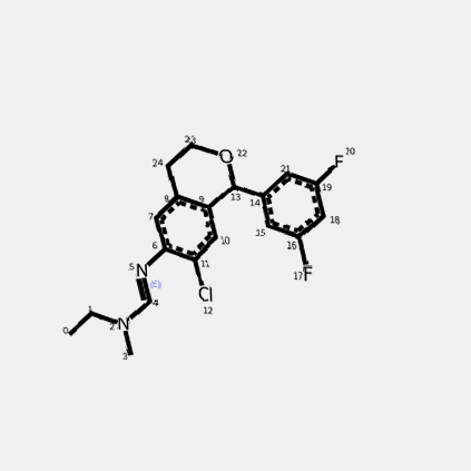 CCN(C)/C=N/c1cc2c(cc1Cl)C(c1cc(F)cc(F)c1)OCC2